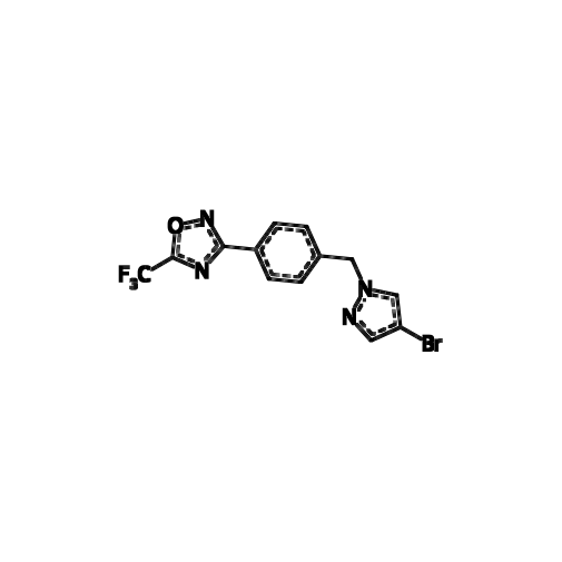 FC(F)(F)c1nc(-c2ccc(Cn3cc(Br)cn3)cc2)no1